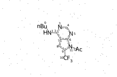 CCCCNc1ncnc2c1cc(C(F)(F)F)n2C(C)=O